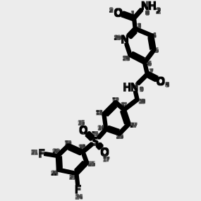 NC(=O)c1ccc(C(=O)NCc2ccc(S(=O)(=O)c3cc(F)cc(F)c3)cc2)cn1